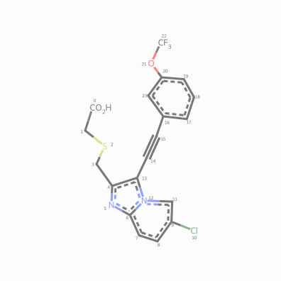 O=C(O)CSCc1nc2ccc(Cl)cn2c1C#Cc1cccc(OC(F)(F)F)c1